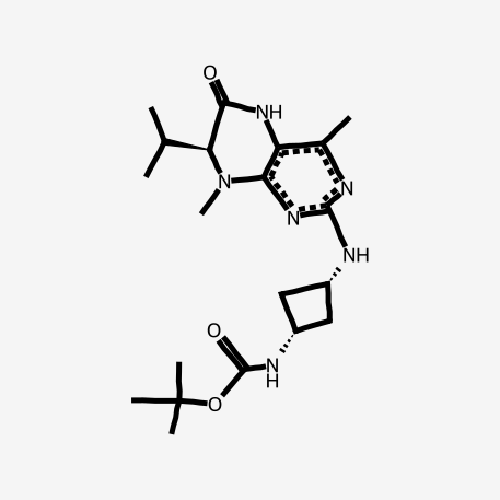 Cc1nc(N[C@H]2C[C@@H](NC(=O)OC(C)(C)C)C2)nc2c1NC(=O)[C@H](C(C)C)N2C